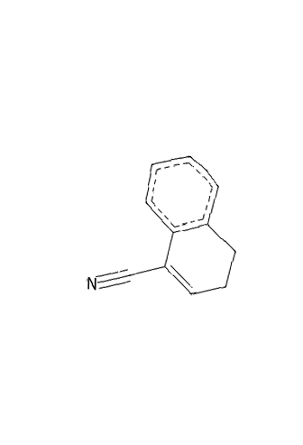 N#CC1=CCCc2ccccc21